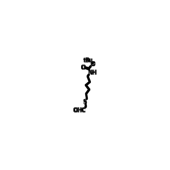 CC(C)(C)OC(=O)NCCCCCCSCC=O